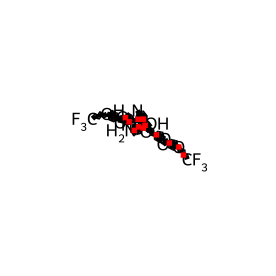 Nc1ccc(CC(Cc2ccc(N)cc2)(C(O)C(=O)/C=C/c2ccc(OC(=O)c3ccc(OCCCCC(F)(F)F)cc3)cc2)C(O)C(=O)/C=C/c2ccc(OC(=O)c3ccc(OCCCCC(F)(F)F)cc3)cc2)cc1